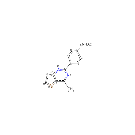 CC(=O)Nc1ccc(-c2nc(C)c3sccc3n2)cc1